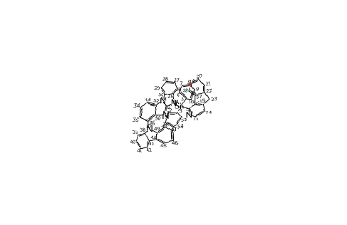 c1ccc([Si](c2ccccc2)(c2nccc3c2-c2ccccc2C3)n2c3ccccc3n3c4cccc(-n5c6ccccc6c6ccccc65)c4nc23)cc1